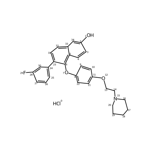 Cl.Oc1ccc2c(Oc3ccc(OCCN4CCCCC4)cc3)c(-c3cccc(F)c3)ccc2c1